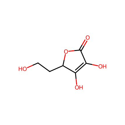 O=C1OC(CCO)C(O)=C1O